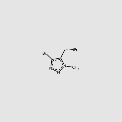 CC(C)Cc1c(Br)nnn1C